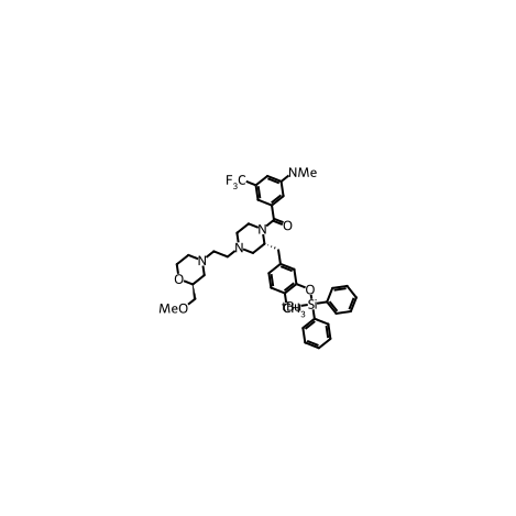 CNc1cc(C(=O)N2CCN(CCN3CCO[C@H](COC)C3)C[C@H]2Cc2ccc(C)c(O[Si](c3ccccc3)(c3ccccc3)C(C)(C)C)c2)cc(C(F)(F)F)c1